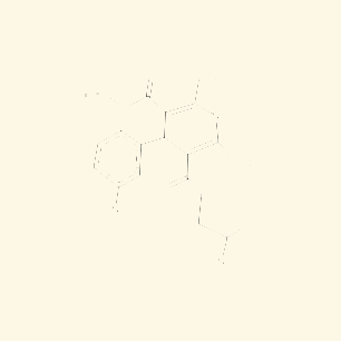 CCCCCCCCCCOC(=O)C1=C(C)NC(C)=C(C(=O)OCC(O)[N+](=O)[O-])C1c1cccc([N+](=O)[O-])c1